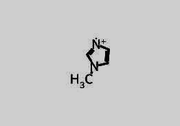 CN1C=C[N+]=C1